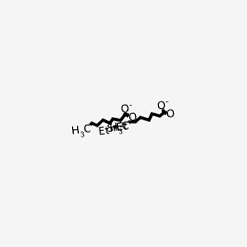 CCCCCCCC(=O)[O-].CCCCCCCC(=O)[O-].C[CH2][Sn+2][CH2]C